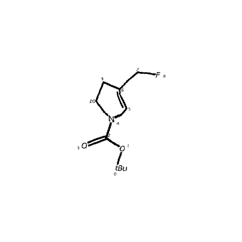 CC(C)(C)OC(=O)N1C=C(CF)CC1